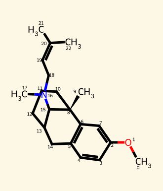 COc1ccc2c(c1)[C@@]1(C)CCCC(C2)C1N(C)CC=C(C)C